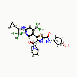 O=C(N[C@@H]1CC[C@@H](O)C1)c1nc(C(=O)N2C3CCC2CC3)c(-c2cnc(N[C@@H](C3CC3)C(F)(F)F)cc2C(F)F)s1